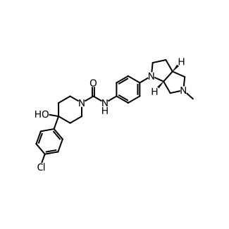 CN1C[C@H]2CCN(c3ccc(NC(=O)N4CCC(O)(c5ccc(Cl)cc5)CC4)cc3)[C@H]2C1